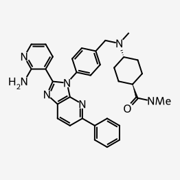 CNC(=O)[C@H]1CC[C@H](N(C)Cc2ccc(-n3c(-c4cccnc4N)nc4ccc(-c5ccccc5)nc43)cc2)CC1